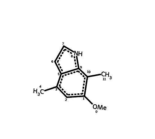 COc1cc(C)c2cc[nH]c2c1C